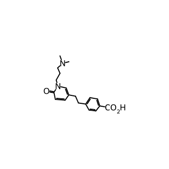 CN(C)CCCn1cc(CCc2ccc(C(=O)O)cc2)ccc1=O